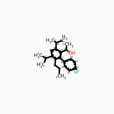 CCCc1c(C(C)C)cc(C(C)C)c(C(C)O)c1-c1ccc(F)cc1